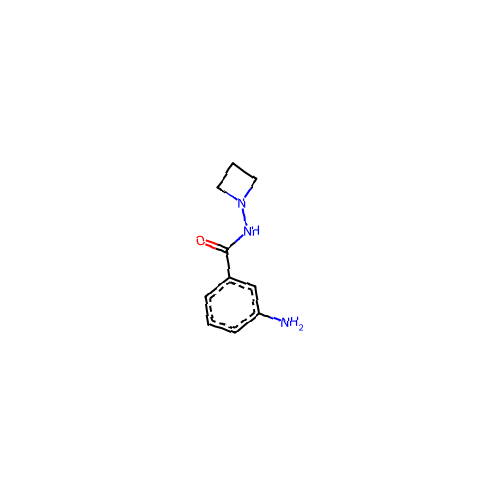 Nc1cccc(C(=O)NN2CCC2)c1